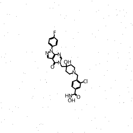 O=C(NO)c1ccc(CN2CCC(O)(Cn3cnc4c(cnn4-c4ccc(F)cc4)c3=O)CC2)c(Cl)c1